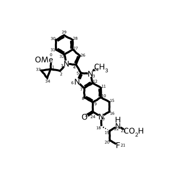 COC1(Cn2c(-c3nc4cc5c(cc4n3C)CCN(C[C@@H](CF)NC(=O)O)C5=O)cc3ccccc32)CC1